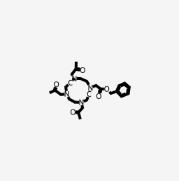 CC(=O)CN1CCN(CC(C)=O)CCN(CC(=O)OCc2ccccc2)CCN(CC(C)=O)CC1